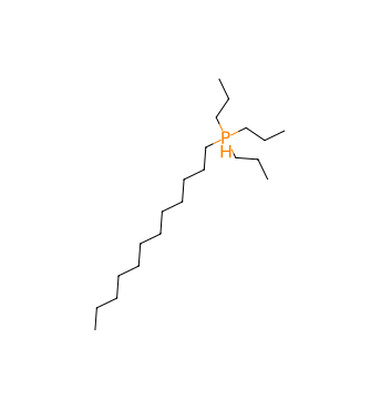 CCCCCCCCCCCC[PH](CCC)(CCC)CCC